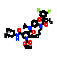 COCCCN1C(=O)C(C)(c2cc(F)cc(F)c2)Oc2ccc(N(C(=O)[C@@H]3C[C@H](C(=O)NC(CC(C)C)CC(C)C)CN(C(=O)OC(C)(C)C)C3)C3CC3)cc21